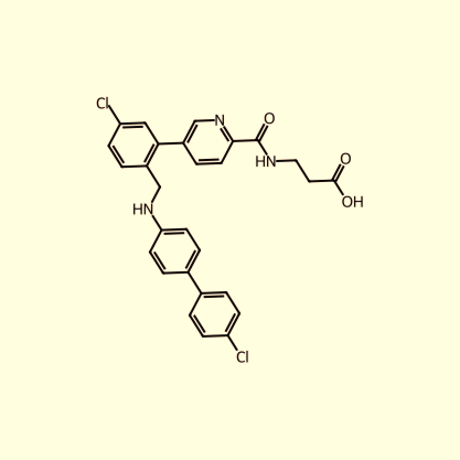 O=C(O)CCNC(=O)c1ccc(-c2cc(Cl)ccc2CNc2ccc(-c3ccc(Cl)cc3)cc2)cn1